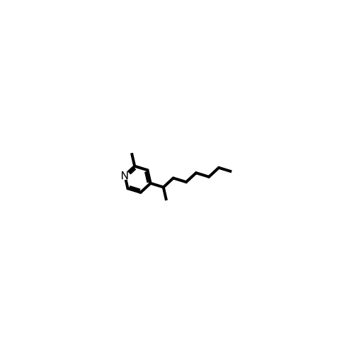 CCCCCCC(C)c1ccnc(C)c1